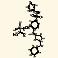 CN(c1ccc(S(=O)(=O)Nc2ncns2)cc1Cl)[C@@H]1CCN(Cc2ccccc2)C1.O=C(O)C(F)(F)F